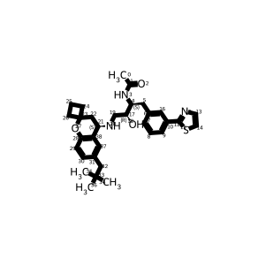 CC(=O)N[C@@H](Cc1cccc(-c2nccs2)c1)[C@H](O)CN[C@H]1CC2(CCC2)Oc2ccc(CC(C)(C)C)cc21